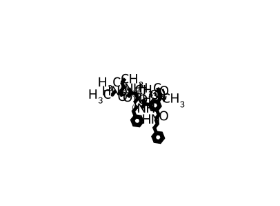 CCNC(=O)[C@@H](NC(=O)[C@H](C)NC[C@H](Cc1ccccc1)NC(=O)c1cc(C(=O)NCCc2ccccc2)cc(N(C)S(C)(=O)=O)c1)C(C)C